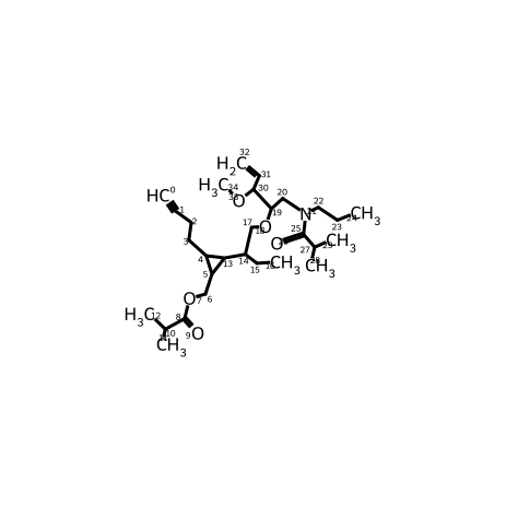 C#CCCC1C(COC(=O)C(C)C)C1C(CC)COC(CN(CCC)C(=O)C(C)C)C(C=C)OC